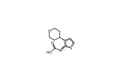 O=C(O)/N=c1/sccn1C1CCOCC1